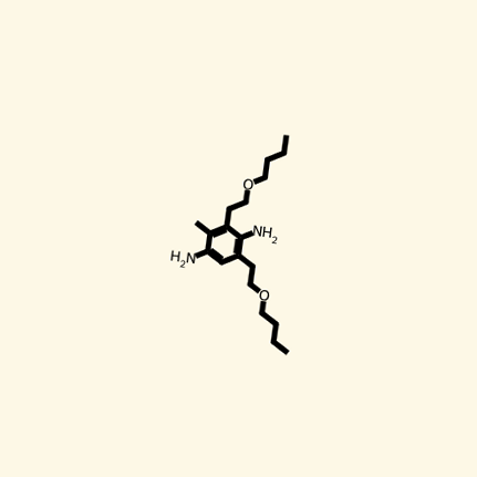 CCCCOCCc1cc(N)c(C)c(CCOCCCC)c1N